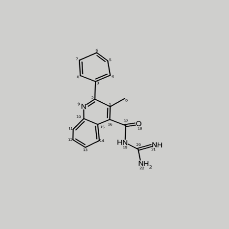 Cc1c(-c2ccccc2)nc2ccccc2c1C(=O)NC(=N)N